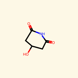 O=C1CC(O)CC(=O)N1